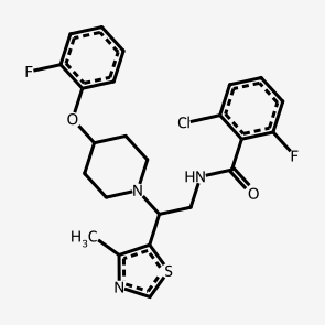 Cc1ncsc1C(CNC(=O)c1c(F)cccc1Cl)N1CCC(Oc2ccccc2F)CC1